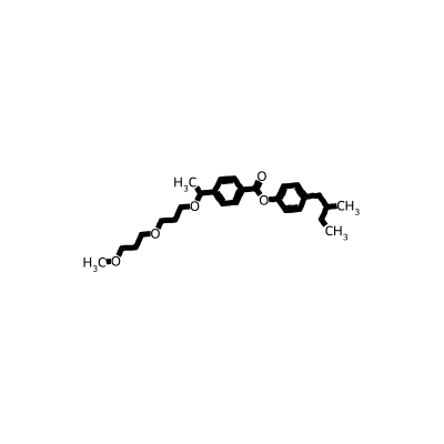 CCC(C)Cc1ccc(OC(=O)c2ccc(C(C)OCCCOCCCOC)cc2)cc1